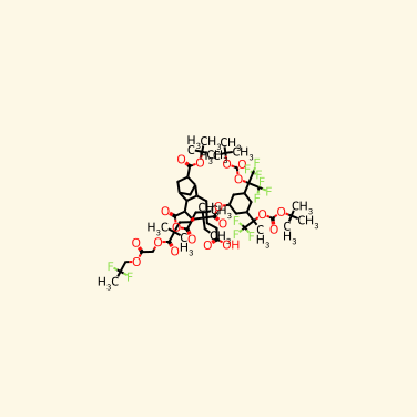 CCC(C)(C(=O)OC1CC(C(C)(OC(=O)OC(C)(C)C)C(F)(F)F)CC(C(OC(=O)OC(C)(C)C)(C(F)(F)F)C(F)(F)F)C1)C1C(=O)OC(=O)C1C1C2CC(C(=O)OC(C)(C)C)C(C2)C1CC(C)(CCCC(C)(C)C(=O)OCC(=O)OCC(C)(F)F)CCC(=O)O